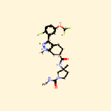 CC(C)NC(=O)N1CCC(C)(NC(=O)[C@@H]2CCc3c(-c4cc(OC(F)F)ccc4F)nn(C(C)C)c3C2)C1